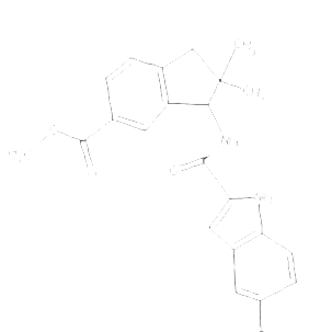 COC(=O)c1ccc2c(c1)C(NC(=O)c1cc3cc(Cl)ccc3[nH]1)C(C)(C)C2